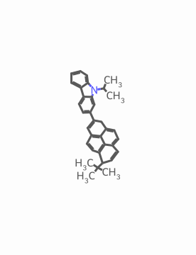 CC(C)n1c2ccccc2c2ccc(C3=Cc4ccc5c6c(ccc(c46)C3)C=CC5C(C)(C)C)cc21